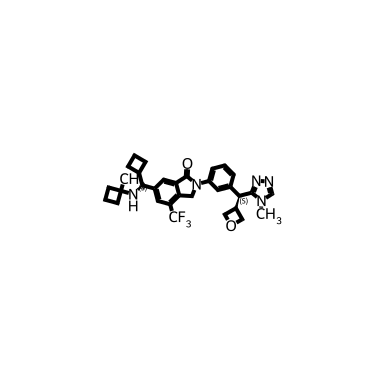 Cn1cnnc1[C@H](c1cccc(N2Cc3c(cc([C@@H](NC4(C)CCC4)C4CCC4)cc3C(F)(F)F)C2=O)c1)C1COC1